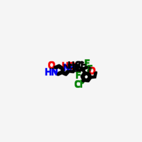 CC(O)(Cc1cc2c[nH]c(=O)cc2[nH]1)C(F)C(C)(c1cc(Cl)cc2c1OCC2)C(F)F